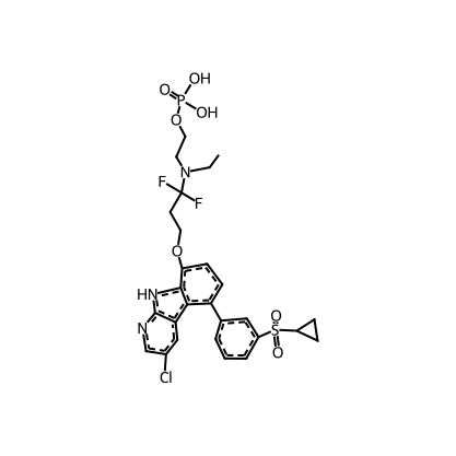 CCN(CCOP(=O)(O)O)C(F)(F)CCOc1ccc(-c2cccc(S(=O)(=O)C3CC3)c2)c2c1[nH]c1ncc(Cl)cc12